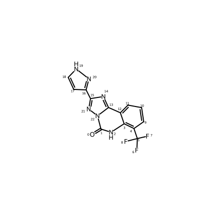 O=c1[nH]c2c(C(F)(F)F)cccc2c2nc(-c3cc[nH]n3)nn12